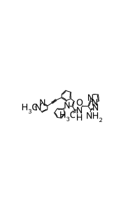 C[C@H](NC(=O)c1c(N)nn2cccnc12)c1cc2cccc(C#Cc3ccn(C)n3)c2n1-c1ccccc1